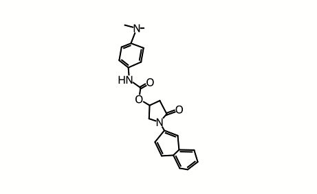 CN(C)c1ccc(NC(=O)OC2CC(=O)N(c3ccc4ccccc4c3)C2)cc1